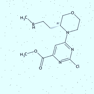 CBCC[C@@H]1COCCN1c1cc(C(=O)OC)nc(Cl)n1